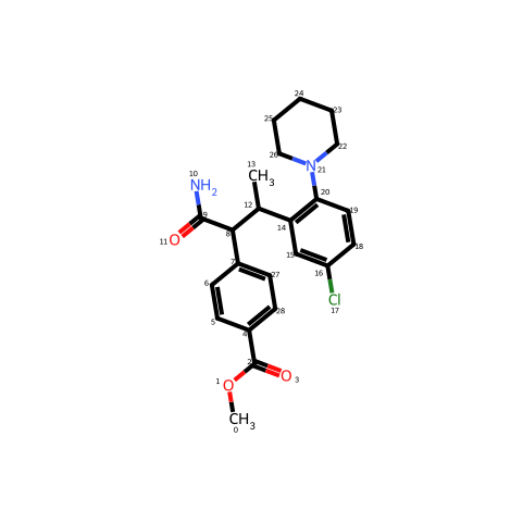 COC(=O)c1ccc(C(C(N)=O)C(C)c2cc(Cl)ccc2N2CCCCC2)cc1